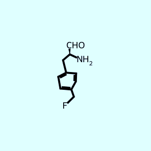 N[C@H](C=O)Cc1ccc(CF)cc1